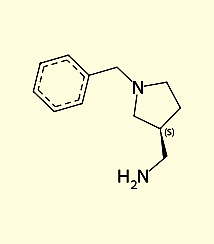 NC[C@@H]1CCN(Cc2ccccc2)C1